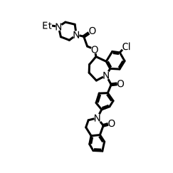 CCN1CCN(C(=O)COC2CCCN(C(=O)c3ccc(N4CCc5ccccc5C4=O)cc3)c3ccc(Cl)cc32)CC1